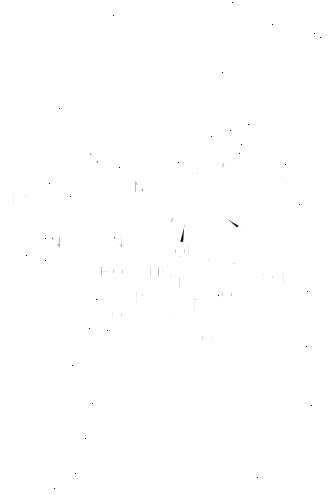 COC[C@H]1O[C@@H](n2cnc3c(S)ncnc32)[C@H](O)[C@@H]1OP(=O)(O)OP(=O)(O)OP(=O)(O)O